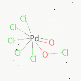 [O]=[Pd]([Cl])([Cl])([Cl])([Cl])([Cl])[O]Cl